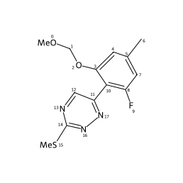 COCOc1cc(C)cc(F)c1-c1cnc(SC)nn1